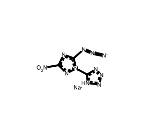 [N-]=[N+]=Nc1nc([N+](=O)[O-])nn1-c1nnn[nH]1.[Na]